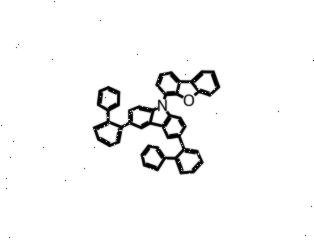 c1ccc(-c2ccccc2-c2ccc3c(c2)c2cc(-c4ccccc4-c4ccccc4)ccc2n3-c2cccc3c2oc2ccccc23)cc1